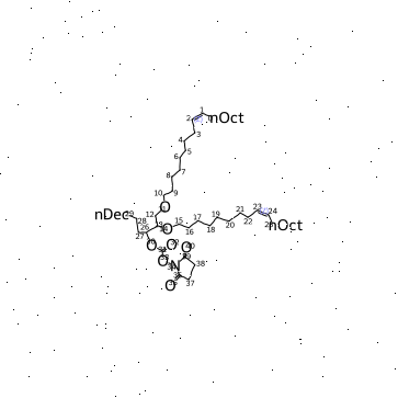 CCCCCCCC/C=C\CCCCCCCCOCC(OCCCCCCCC/C=C\CCCCCCCC)C(CCCCCCCCCCCC)OC(=O)ON1C(=O)CCC1=O